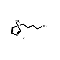 CCCCCCCCCC[N+]1(C)C=CN=C1.[Cl-]